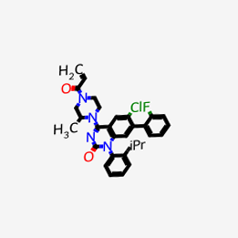 C=CC(=O)N1CCN(c2nc(=O)n(-c3ccccc3C(C)C)c3cc(-c4ccccc4F)c(Cl)cc23)C(C)C1